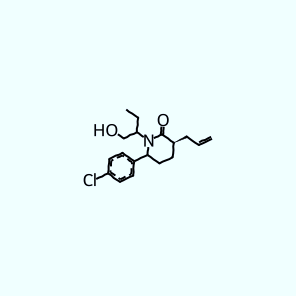 C=CC[C@H]1CCC(c2ccc(Cl)cc2)N(C(CC)CO)C1=O